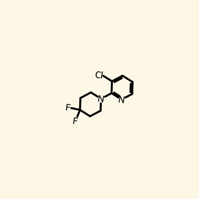 FC1(F)CCN(c2ncccc2Cl)CC1